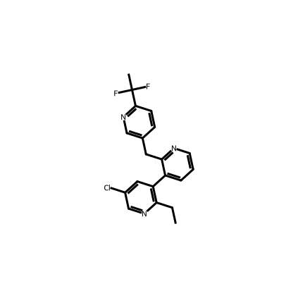 CCc1ncc(Cl)cc1-c1cccnc1Cc1ccc(C(C)(F)F)nc1